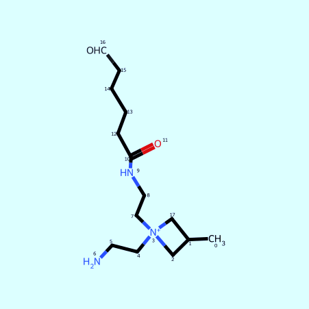 CC1C[N+](CCN)(CCNC(=O)CCCCC=O)C1